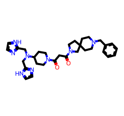 O=C(CC(=O)N1CCC2(CCN(Cc3ccccc3)CC2)C1)N1CCC(N(Cc2ncc[nH]2)Cc2ncc[nH]2)CC1